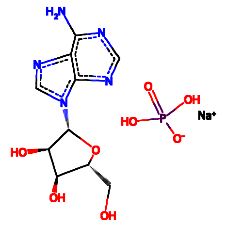 Nc1ncnc2c1ncn2[C@@H]1O[C@H](CO)[C@@H](O)[C@H]1O.O=P([O-])(O)O.[Na+]